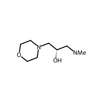 CNC[C@H](O)CN1CCOCC1